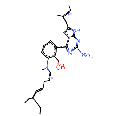 C/C=C(\C)c1cc2c(-c3cccc(N(C)/C=C\C/C=C/C(C)CC)c3CO)nc(N)nc2[nH]1